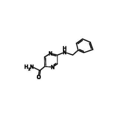 NC(=O)c1cnc(NCc2ccccc2)cn1